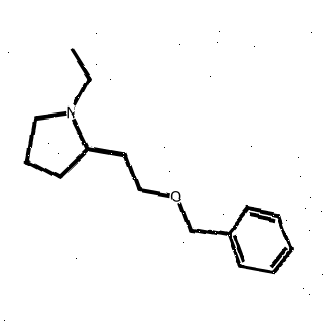 CCN1CCCC1CCOCc1ccccc1